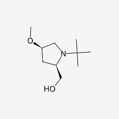 CO[C@@H]1C[C@H](CO)N(C(C)(C)C)C1